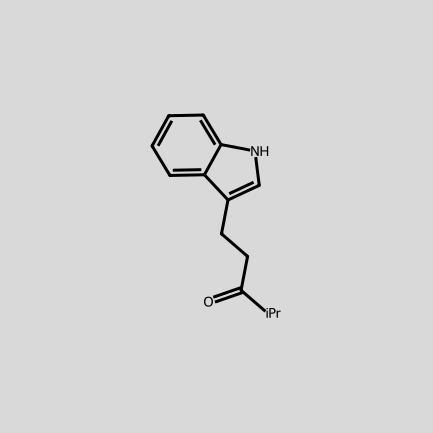 CC(C)C(=O)CCc1c[nH]c2ccccc12